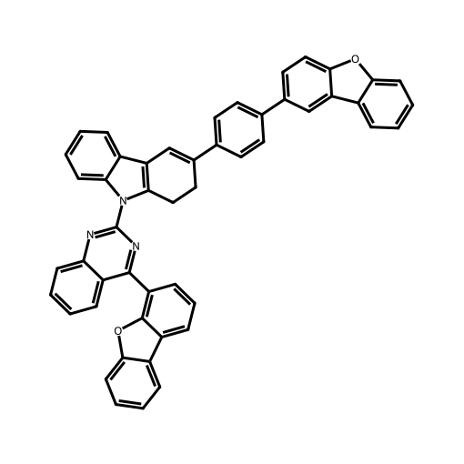 C1=C(c2ccc(-c3ccc4oc5ccccc5c4c3)cc2)CCc2c1c1ccccc1n2-c1nc(-c2cccc3c2oc2ccccc23)c2ccccc2n1